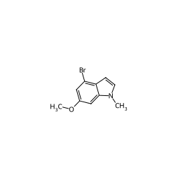 COc1cc(Br)c2ccn(C)c2c1